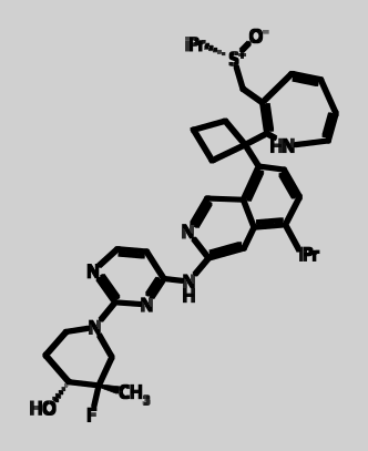 CC(C)c1ccc(C2(C3=C(C[S@@+]([O-])C(C)C)C=CC=CN3)CCC2)c2cnc(Nc3ccnc(N4CC[C@@H](O)[C@@](C)(F)C4)n3)cc12